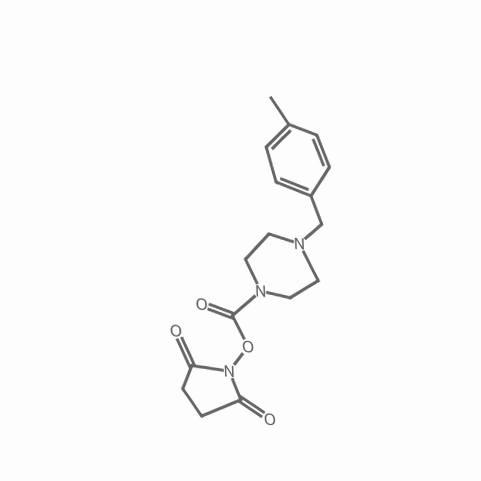 Cc1ccc(CN2CCN(C(=O)ON3C(=O)CCC3=O)CC2)cc1